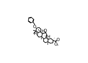 COC(=O)[C@@]1(C)CC[C@]2(C)CC[C@]3(C)C(=CC(=O)[C@@H]4[C@@]5(C)CC[C@H](OCc6ccccc6)C(C)(C)[C@@H]5CC[C@]43C)[C@H]2C1